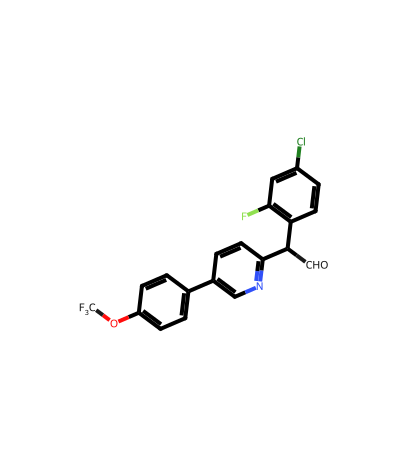 O=CC(c1ccc(-c2ccc(OC(F)(F)F)cc2)cn1)c1ccc(Cl)cc1F